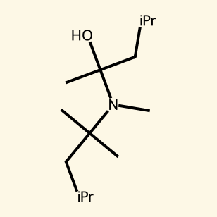 CC(C)CC(C)(C)N(C)C(C)(O)CC(C)C